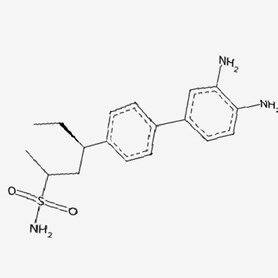 CC[C@H](CC(C)S(N)(=O)=O)c1ccc(-c2ccc(N)c(N)c2)cc1